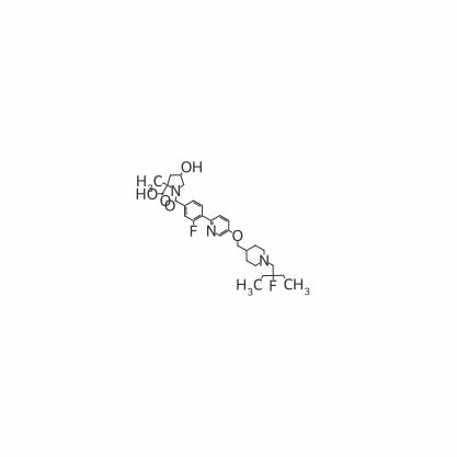 CCC(F)(CC)CN1CCC(COc2ccc(-c3ccc(C(=O)N4C[C@H](O)C[C@@]4(C)C(=O)O)cc3F)nc2)CC1